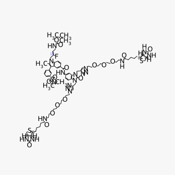 Cc1c(-c2cccc(S(=O)(=O)N(C)C)c2)c2cc(C(=O)Nc3ccc4c(c3)n(Cc3cn(CCOCCOCCOCCNC(=O)CCCC[C@H]5SC[C@H]6NC(=O)N[C@H]65)nn3)c(=O)n4Cc3cn(CCOCCOCCOCCNC(=O)CCCC[C@@H]4SC[C@@H]5NC(=O)N[C@@H]54)nn3)ccc2n1C/C(F)=C/CNC(=O)OC(C)(C)C